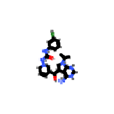 CC(C)n1cc(C(=O)C2=CN(NC(=O)Nc3cccc(Cl)c3)CC#C2)c2c(N)ncnc21